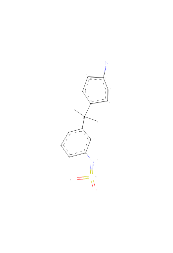 CC(C)(c1ccc(N)cc1)c1cccc(N=S(=O)=O)c1